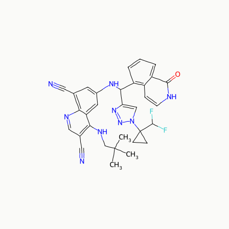 CC(C)(C)CNc1c(C#N)cnc2c(C#N)cc(NC(c3cn(C4(C(F)F)CC4)nn3)c3cccc4c(=O)[nH]ccc34)cc12